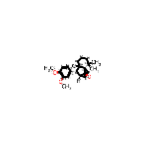 COc1ccc([C@H]2[C@@H]3C=C[C@]4(C3=O)C(C)(C)CCCC24C)cc1OC